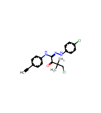 C#Cc1ccc(N/C(=N/Nc2ccc(Cl)cc2)C(=O)C(C)(C)CCl)cc1